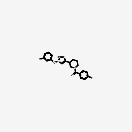 O=C(c1ccc(F)cc1)N1CCCC(C2=CN(Oc3cccc(F)c3)NO2)C1